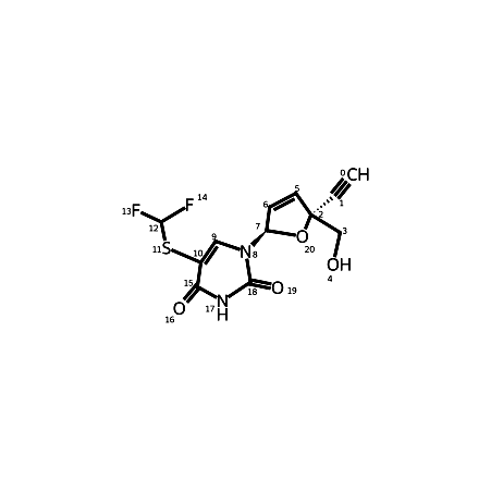 C#C[C@@]1(CO)C=C[C@H](n2cc(SC(F)F)c(=O)[nH]c2=O)O1